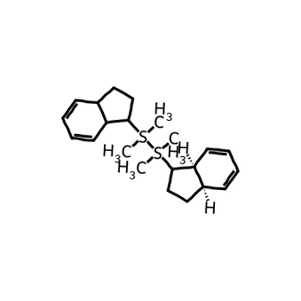 CS(C)(C1CCC2C=CC=CC21)S(C)(C)C1CC[C@@H]2C=CC=C[C@H]12